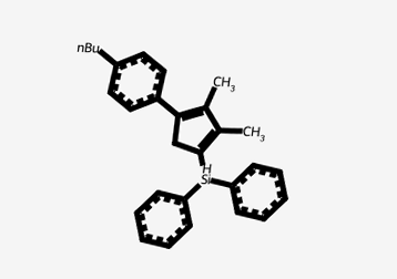 CCCCc1ccc(C2=C(C)C(C)=C([SiH](c3ccccc3)c3ccccc3)C2)cc1